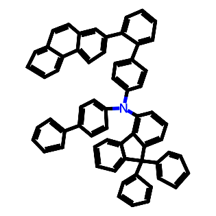 c1ccc(-c2ccc(N(c3ccc(-c4ccccc4-c4ccc5c(ccc6ccccc65)c4)cc3)c3cccc4c3-c3ccccc3C4(c3ccccc3)c3ccccc3)cc2)cc1